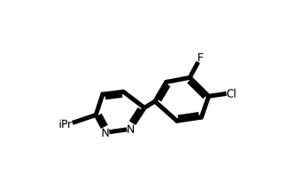 CC(C)c1ccc(-c2ccc(Cl)c(F)c2)nn1